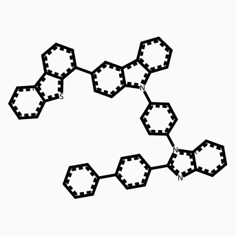 c1ccc(-c2ccc(-c3nc4ccccc4n3-c3ccc(-n4c5ccccc5c5cc(-c6cccc7c6sc6ccccc67)ccc54)cc3)cc2)cc1